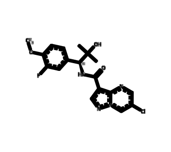 CC(C)(O)[C@@H](NC(=O)c1cnn2cc(Cl)cnc12)c1ccc(OC(F)(F)F)c(F)c1